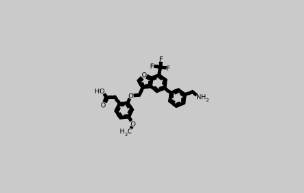 COc1ccc(CC(=O)O)c(OCc2coc3c(C(F)(F)F)cc(-c4cccc(CN)c4)cc23)c1